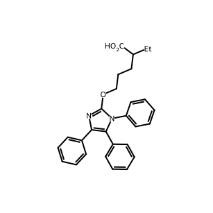 CCC(CCCOc1nc(-c2ccccc2)c(-c2ccccc2)n1-c1ccccc1)C(=O)O